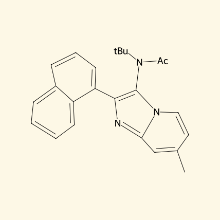 CC(=O)N(c1c(-c2cccc3ccccc23)nc2cc(C)ccn12)C(C)(C)C